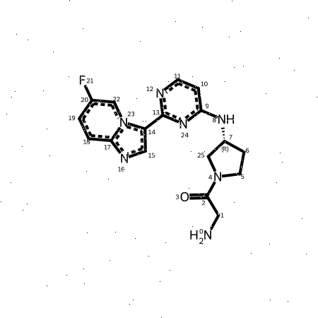 NCC(=O)N1CC[C@@H](Nc2ccnc(-c3cnc4ccc(F)cn34)n2)C1